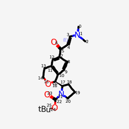 CN(C)/C=C/C(=O)c1ccc2c(c1)CCO[C@@H]2C1CCCN1C(=O)OC(C)(C)C